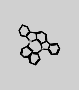 c1ccc(B2C3=C(CCCC3)c3ccc4c5ccccc5n(-c5ccccc5)c4c32)cc1